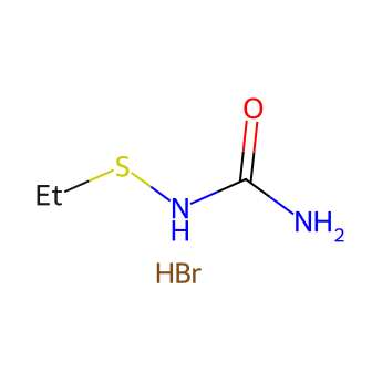 Br.CCSNC(N)=O